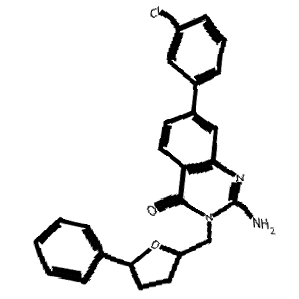 Nc1nc2cc(-c3cccc(Cl)c3)ccc2c(=O)n1CC1CCC(c2ccccc2)O1